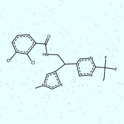 Cn1cnc(C(CNC(=O)c2cccc(Cl)c2Cl)c2cnc(C(F)(F)F)nc2)c1